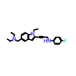 CCN(CC)Cc1ccc2c(c1)cc(C#CCNc1ccc(F)cc1)n2CC